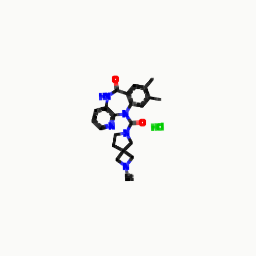 CCN1CC2(CCN(C(=O)N3c4cc(C)c(C)cc4C(=O)Nc4cccnc43)C2)C1.Cl